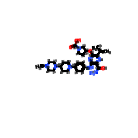 C=C(C)c1nc(C(N)=O)c(Nc2ccc(N3CCC(N4CCN(C)CC4)CC3)cc2)nc1O[C@@H]1CCN(C(=O)O)C1